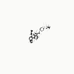 O=C(N[C@H]1CC[C@@H](NC(=O)C2(O)CC2)CC1)c1c[nH]c2c(-c3c(OCC4CC4)ccc4c3OCO4)ncnc12